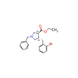 CCOC(=O)[C@@H]1CN(Cc2ccccc2)C[C@H]1Cc1ccccc1Br